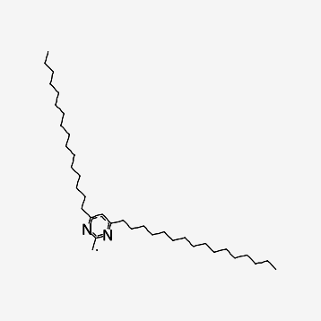 [CH2]c1nc(CCCCCCCCCCCCCCCC)cc(CCCCCCCCCCCCCCCC)n1